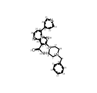 NC(=O)c1c(N2CCN(Cc3ccccc3)CC2)nn2c(-c3ccncc3)ccnc12